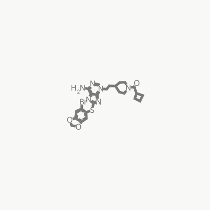 Nc1ncn(CCC2CCN(C(=O)C3CCC3)CC2)c2nc(Sc3cc4c(cc3Br)OCO4)nc1-2